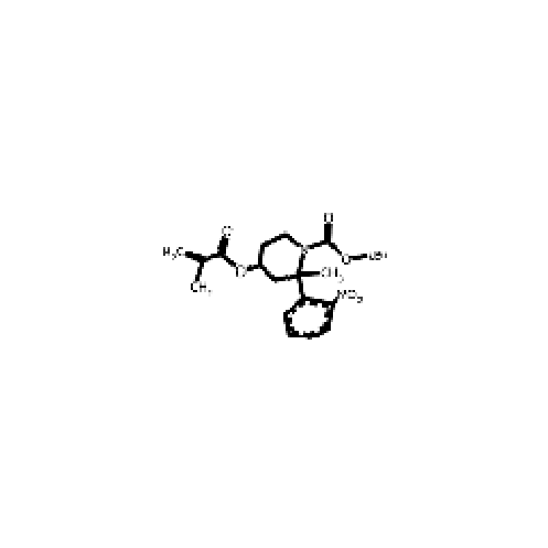 C=C(C)C(=O)OC1CCN(C(=O)OC(C)(C)C)C(C)(c2ccccc2[N+](=O)[O-])C1